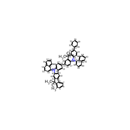 CC1(C)c2ccccc2-c2cc3c4cc(-c5ccc6c(c5)C(C)(C)c5cc(-c7ccccc7)ccc5N6c5cccc6ccccc56)ccc4n(-c4cccc5ccccc45)c3cc21